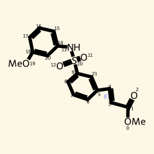 COC(=O)/C=C/c1cccc(S(=O)(=O)Nc2cccc(OC)c2)c1